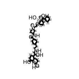 O=C(N[C@@H]1CCN(C(=O)COc2cccc([C@](O)(C(=O)O)c3ccccc3)c2)C1)c1ccc(CCNC[C@H](O)c2ccc(O)c3[nH]c(=O)ccc23)cc1